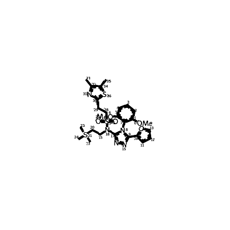 COc1cccc(OC)c1-n1c(-c2ccco2)nnc1N(CCS(C)(C)C)S(=O)(=O)CCc1nc(C)c(C)s1